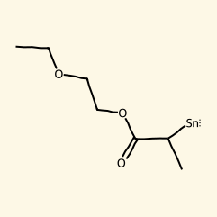 CCOCCOC(=O)[CH](C)[Sn]